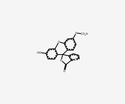 O=C(O)Oc1ccc2c(c1)Oc1cc(O)ccc1C21OC(=O)c2ccccc21